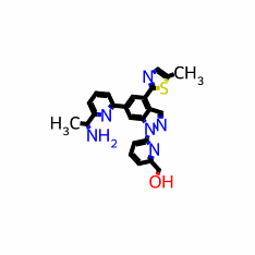 Cc1cnc(-c2cc(-c3cccc(C(C)N)n3)cc3c2cnn3-c2cccc(CO)n2)s1